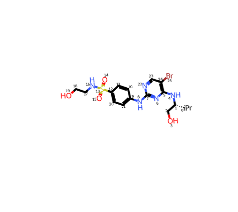 CC(C)[C@H](CO)Nc1nc(Nc2ccc(S(=O)(=O)NCCO)cc2)ncc1Br